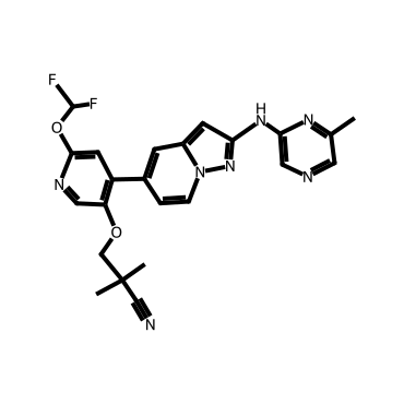 Cc1cncc(Nc2cc3cc(-c4cc(OC(F)F)ncc4OCC(C)(C)C#N)ccn3n2)n1